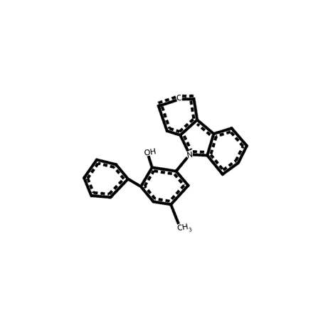 Cc1cc(-c2ccccc2)c(O)c(-n2c3ccccc3c3ccccc32)c1